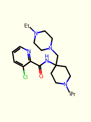 CCN1CCN(CC2(NC(=O)c3ncccc3Cl)CCN(C(C)C)CC2)CC1